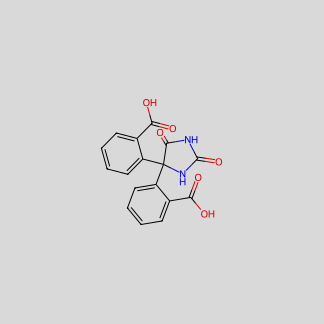 O=C1NC(=O)C(c2ccccc2C(=O)O)(c2ccccc2C(=O)O)N1